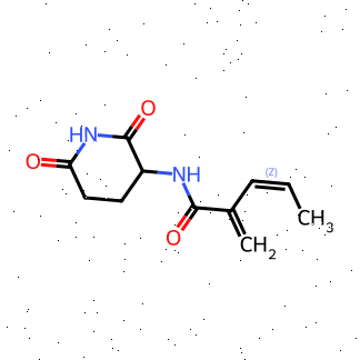 C=C(/C=C\C)C(=O)NC1CCC(=O)NC1=O